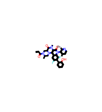 C=CC(=O)N1CC2C(=O)N(C)c3c(c4cc(F)c(-c5ccccc5O)c(F)c4n(-c4c(C)ccnc4C(C)C)c3=O)N2CC1C